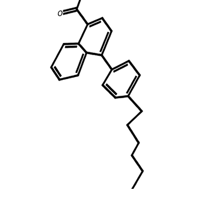 CCCCCCc1ccc(-c2ccc(C(=O)O)c3ccccc23)cc1